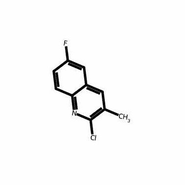 Cc1cc2cc(F)ccc2nc1Cl